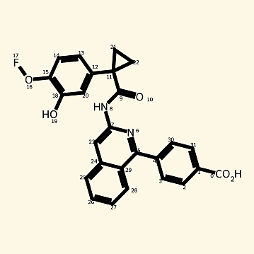 O=C(O)c1ccc(-c2nc(NC(=O)C3(c4ccc(OF)c(O)c4)CC3)cc3ccccc23)cc1